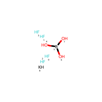 F.F.F.F.OB(O)O.[KH]